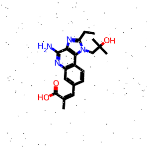 CCc1nc2c(N)nc3cc(C=C(C)C(=O)O)ccc3c2n1CC(C)(C)O